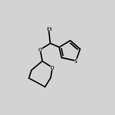 CCC(OC1CCCCO1)c1ccsc1